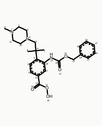 CN1CCN(CC(C)(C)c2ccc(C(=O)OO)cc2NC(=O)OCc2ccccc2)CC1